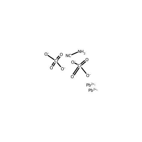 N#CN.[O]=[Cr](=[O])([O-])[O-].[O]=[Cr](=[O])([O-])[O-].[Pb+2].[Pb+2]